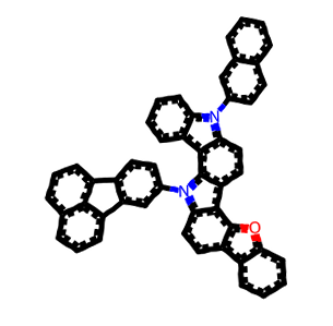 c1ccc2cc(-n3c4ccccc4c4c3ccc3c5c6oc7ccccc7c6ccc5n(-c5ccc6c(c5)-c5cccc7cccc-6c57)c34)ccc2c1